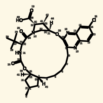 C[C@@H]1C[C@H]2CCCCCc3nc4ccc(Cl)cc4nc3O[C@H]3CN(C(=O)[C@H](C(C)(C)C)NC(=O)O[C@@H]2C1)[C@H](C(=O)O)[C@@H]3C